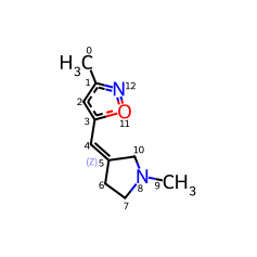 Cc1cc(/C=C2/CCN(C)C2)on1